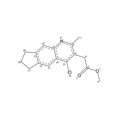 COC(=O)Cc1c(C)nc2cc3c(cc2c1Cl)CCC3